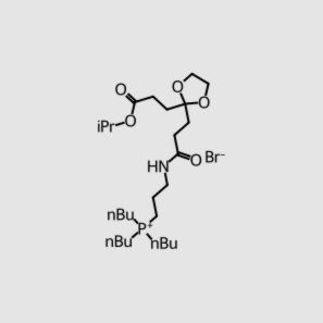 CCCC[P+](CCCC)(CCCC)CCCNC(=O)CCC1(CCC(=O)OC(C)C)OCCO1.[Br-]